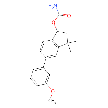 CC1(C)CC(OC(N)=O)c2ccc(-c3cccc(OC(F)(F)F)c3)cc21